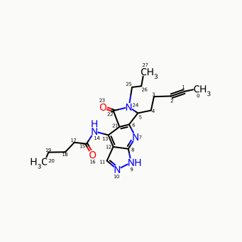 CC#CCCC1c2nc3[nH]ncc3c(NC(=O)CCCC)c2C(=O)N1CCC